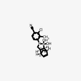 Cc1c(N2C[C@H]3[C@H]([C@@H]4C=C[C@H]3C4)S2(O)O)ccc(C#N)c1Cl